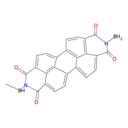 BN1C(=O)c2ccc3c4ccc5c6c(ccc(c7ccc(c2c37)C1=O)c64)C(=O)N(BC)C5=O